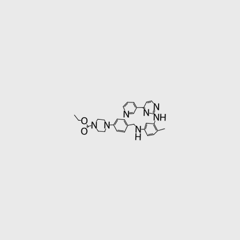 CCOC(=O)N1CCN(c2ccc(CNc3ccc(C)c(Nc4nccc(-c5cccnc5)n4)c3)cc2)CC1